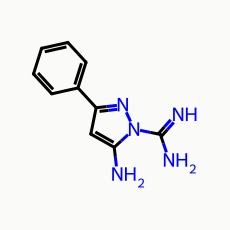 N=C(N)n1nc(-c2ccccc2)cc1N